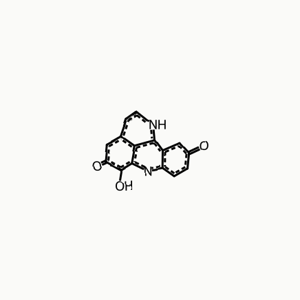 O=c1ccc2nc3c(O)c(=O)cc4cc[nH]c(c2c1)c43